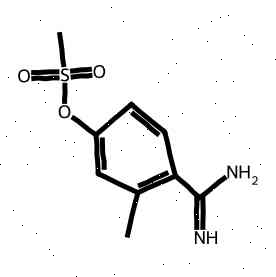 Cc1cc(OS(C)(=O)=O)ccc1C(=N)N